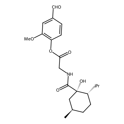 COc1cc(C=O)ccc1OC(=O)CNC(=O)[C@]1(O)C[C@H](C)CC[C@H]1C(C)C